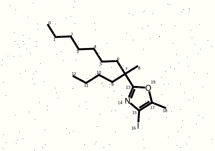 CCCCCCCC(C)(CCCC)c1nc(I)c(C)o1